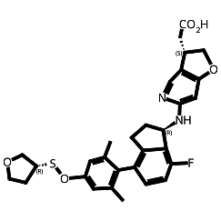 Cc1cc(OS[C@@H]2CCOC2)cc(C)c1-c1ccc(F)c2c1CC[C@H]2Nc1cc2c(cn1)[C@H](CC(=O)O)CO2